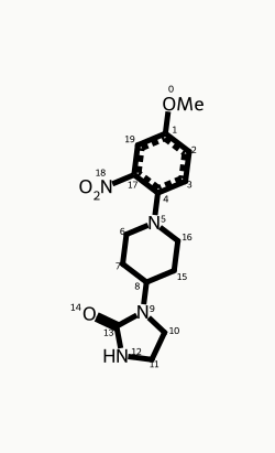 COc1ccc(N2CCC(N3CCNC3=O)CC2)c([N+](=O)[O-])c1